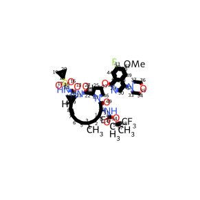 CC[C@@H]1C[C@H](C)CC/C=C\[C@@H]2C[C@@]2(C(=O)NS(=O)(=O)C2CC2)NC(=O)[C@@H]2C[C@@H](Oc3ncc(N4CCOCC4)c4cc(OC)c(F)cc34)CN2C(=O)[C@H]1NC(=O)OC(C)(C)C(F)(F)F